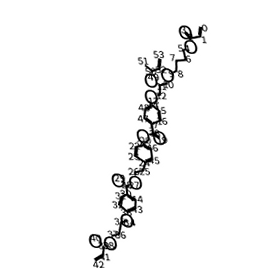 C=CC(=O)OCCCCOCC(COc1ccc(C(=O)Oc2ccc(CCOC(=O)c3ccc(OCCCOC(=O)C=C)cc3)cc2)cc1)OC(C)C=C